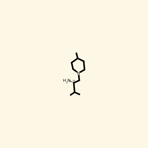 CC1CCN(C[C@@H](N)C(C)C)CC1